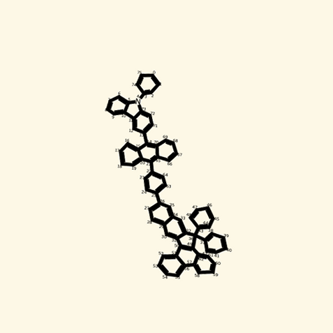 c1ccc(-n2c3ccccc3c3cc(-c4c5ccccc5c(-c5ccc(-c6ccc7cc8c(cc7c6)C(c6ccccc6)(c6ccccc6)c6c-8c7ccccc7c7ccccc67)cc5)c5ccccc45)ccc32)cc1